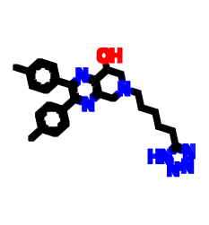 Cc1ccc(-c2nc3c(nc2-c2ccc(C)cc2)C(O)CN(CCCCCc2nnn[nH]2)C3)cc1